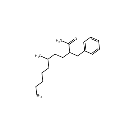 C[C](CCCCN)CCC(Cc1ccccc1)C(N)=O